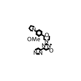 COc1cc(N2CCCC2)ccc1C1CN(c2nc(-c3ccncn3)cc(=O)n2C)CCO1